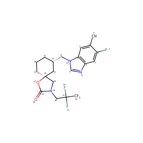 N#Cc1cc2c(cc1F)ncn2C[C@H]1CCC[C@]2(C1)CN(CC(F)(F)C(F)(F)F)C(=O)O2